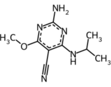 COc1nc(N)nc(NC(C)C)c1C#N